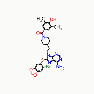 Cc1cc(C(=O)N2CCC(CCn3c(Sc4cc5c(cc4Br)OCO5)nc4c(N)ncnc43)CC2)cc(C)c1O